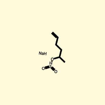 C=CCCC(C)O[SH](=O)=O.[NaH]